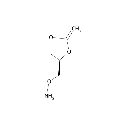 C=C1OC[C@H](CON)O1